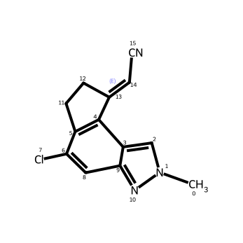 Cn1cc2c3c(c(Cl)cc2n1)CC/C3=C\C#N